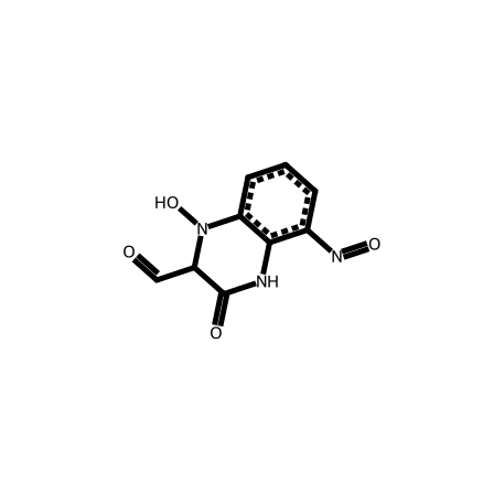 O=CC1C(=O)Nc2c(N=O)cccc2N1O